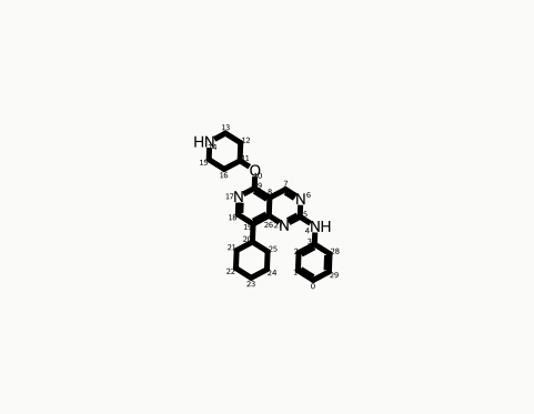 c1ccc(Nc2ncc3c(OC4CCNCC4)ncc(C4CCCCC4)c3n2)cc1